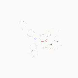 C1=Cc2c(sc3cc(N(c4ccc(-c5ccccc5)cc4)c4ccc5ccccc5c4-c4ccc5c(c4)oc4ccccc45)ccc23)CC1